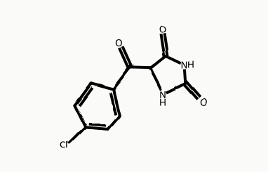 O=C1NC(=O)C(C(=O)c2ccc(Cl)cc2)N1